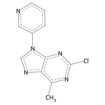 Cc1nc(Cl)nc2c1ncn2-c1cccnc1